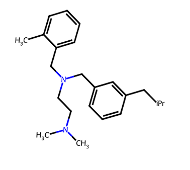 Cc1ccccc1CN(CCN(C)C)Cc1cccc(CC(C)C)c1